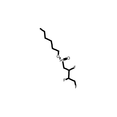 CCCCCC[O][Sn](=[O])[CH2]C(F)C(F)CF